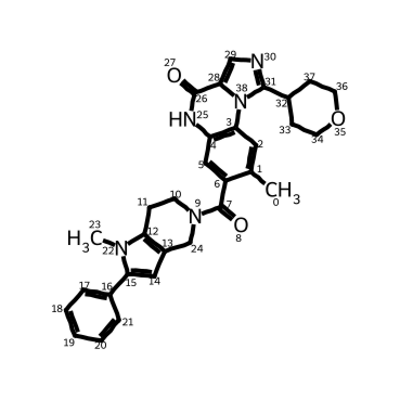 Cc1cc2c(cc1C(=O)N1CCc3c(cc(-c4ccccc4)n3C)C1)[nH]c(=O)c1cnc(C3CCOCC3)n12